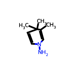 CC1=CN(N)C=CC1(C)C